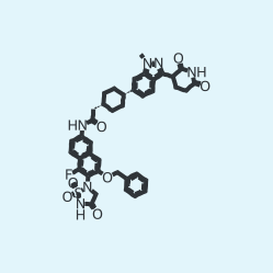 Cn1nc(C2CCC(=O)NC2=O)c2ccc([C@H]3CC[C@@H](CC(=O)Nc4ccc5c(F)c(N6CC(=O)NS6(=O)=O)c(OCc6ccccc6)cc5c4)CC3)cc21